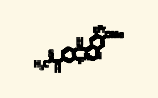 CCCc1cc2c(Nc3ccc(NC(C)=S)cc3F)ncnc2cc1OC